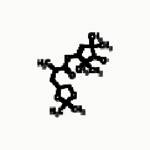 CN(CC1COC(C)(C)O1)C(=O)OC1=CC(C)(C)N([O])C1(C)C